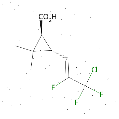 CC1(C)[C@@H](C=C(F)C(F)(F)Cl)[C@@H]1C(=O)O